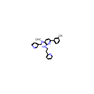 N#Cc1cccc(-c2ccc(N(C=O)Cc3cccnc3)c(NCCc3ccccn3)n2)c1